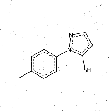 Cc1ccc(-n2nccc2S)cc1